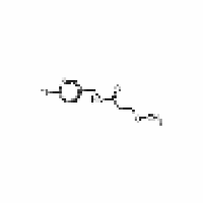 COCCC(=O)NCc1ccc(Cl)nc1